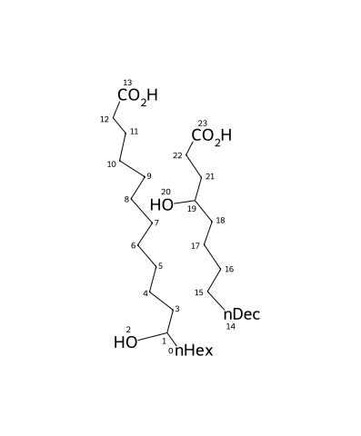 CCCCCCC(O)CCCCCCCCCCC(=O)O.CCCCCCCCCCCCCCC(O)CCC(=O)O